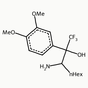 CCCCCCC(N)C(O)(c1ccc(OC)c(OC)c1)C(F)(F)F